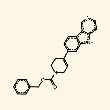 O=C(OCc1ccccc1)N1CC=C(c2ccc3c(c2)[nH]c2ccncc23)CC1